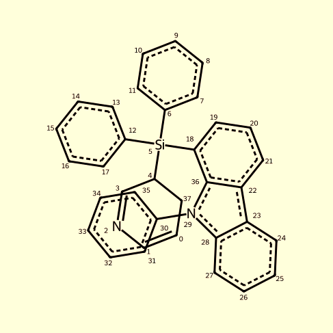 C1=CN=CC([Si](c2ccccc2)(c2ccccc2)c2cccc3c4ccccc4n(-c4ccccc4)c23)C1